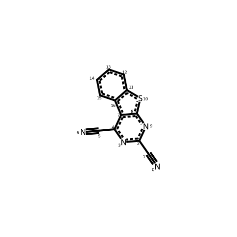 N#Cc1nc(C#N)c2c(n1)sc1ccccc12